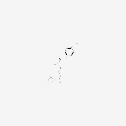 COc1ccc(NC(=O)N(C)CCCC(C)N2CCC2)cc1